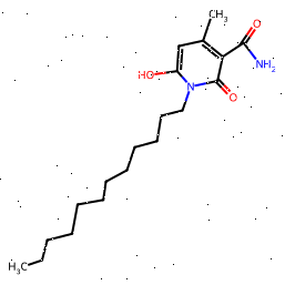 CCCCCCCCCCCCn1c(O)cc(C)c(C(N)=O)c1=O